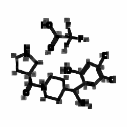 NC(c1cc(Cl)c(Cl)cc1O)C1CCN(C(=O)[C@H]2CCNC2)CC1.O=C(O)C(F)(F)F